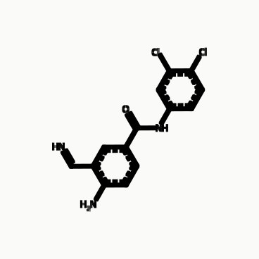 N=Cc1cc(C(=O)Nc2ccc(Cl)c(Cl)c2)ccc1N